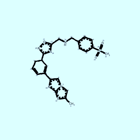 Cc1cn2cc(C3=CC(c4noc(CNCc5ccc(S(C)(=O)=O)cc5)n4)CC=C3)nc2s1